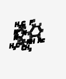 CC(=O)c1ccc(F)c2c1NC(C)(C)c1nnc(C)n1-2